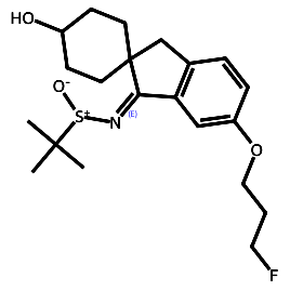 CC(C)(C)[S+]([O-])/N=C1/c2cc(OCCCF)ccc2CC12CCC(O)CC2